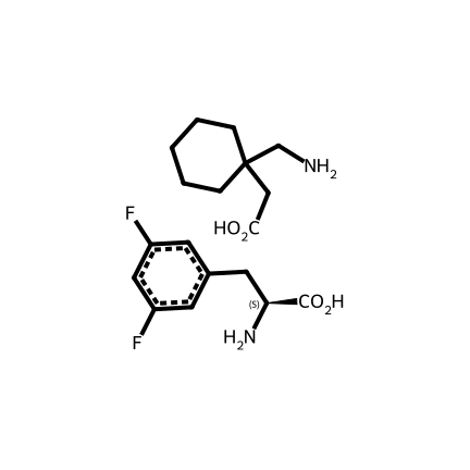 NCC1(CC(=O)O)CCCCC1.N[C@@H](Cc1cc(F)cc(F)c1)C(=O)O